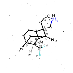 NC[C@@]1(CC(=O)O)C2CC[C@@H]3C[C@H]1[C@H]2[C@H]3C(F)F